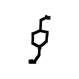 CC(=O)CC1CCN(CC(C)(C)C)CC1